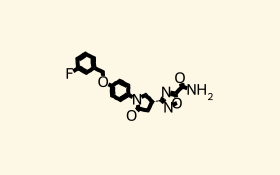 NC(=O)c1nc([C@@H]2CC(=O)N(c3ccc(OCc4cccc(F)c4)cc3)C2)no1